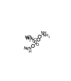 CN(C)/N=C/Nc1ccc(C(=O)Oc2ccc3cc(C(=N)N)ccc3c2CC(N)=O)cc1.Cl.Cl